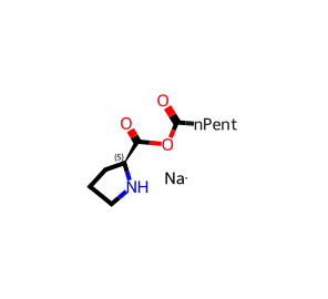 CCCCCC(=O)OC(=O)[C@@H]1CCCN1.[Na]